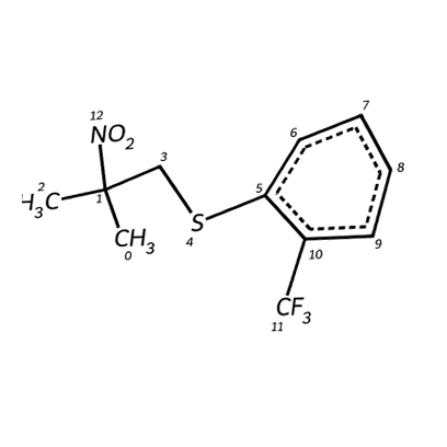 CC(C)(CSc1ccccc1C(F)(F)F)[N+](=O)[O-]